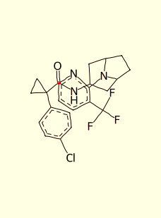 O=C(NC1CC2CCC(C1)N2c1ncccc1C(F)(F)F)C1(c2ccc(Cl)cc2)CC1